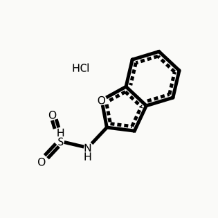 Cl.O=[SH](=O)Nc1cc2ccccc2o1